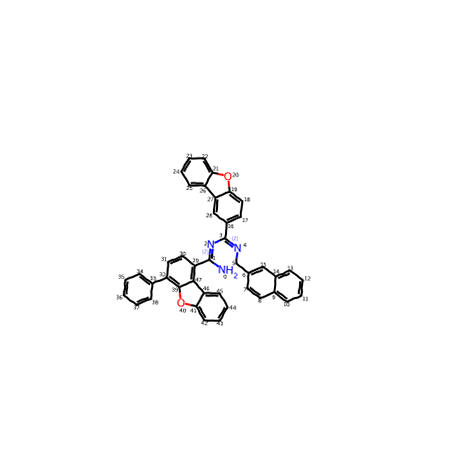 N/C(=N\C(=N/Cc1ccc2ccccc2c1)c1ccc2oc3ccccc3c2c1)c1ccc(-c2ccccc2)c2oc3ccccc3c12